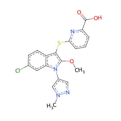 COc1c(Sc2cccc(C(=O)O)n2)c2ccc(Cl)cc2n1-c1cnn(C)c1